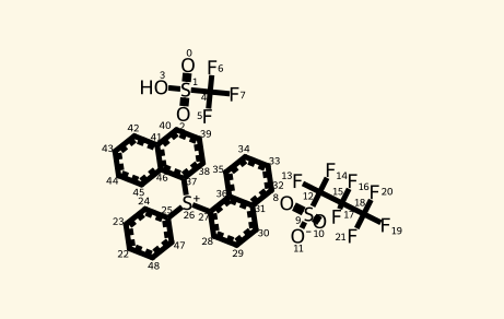 O=S(=O)(O)C(F)(F)F.O=S(=O)([O-])C(F)(F)C(F)(F)C(F)(F)F.c1ccc([S+](c2cccc3ccccc23)c2cccc3ccccc23)cc1